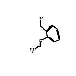 CC(C)Cc1ccccc1OCC(F)(F)F